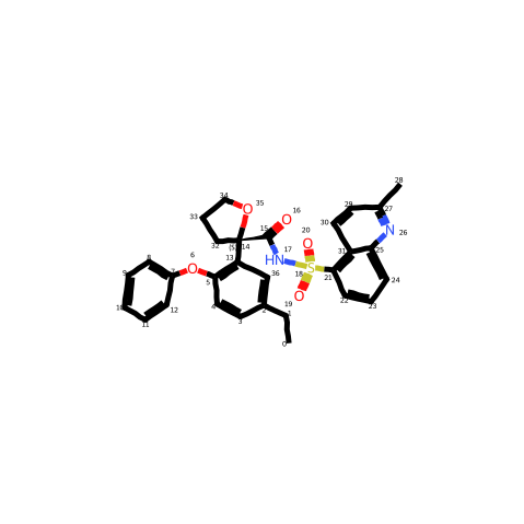 CCc1ccc(Oc2ccccc2)c([C@]2(C(=O)NS(=O)(=O)c3cccc4nc(C)ccc34)CCCO2)c1